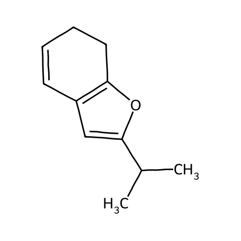 CC(C)c1cc2c(o1)CCC=C2